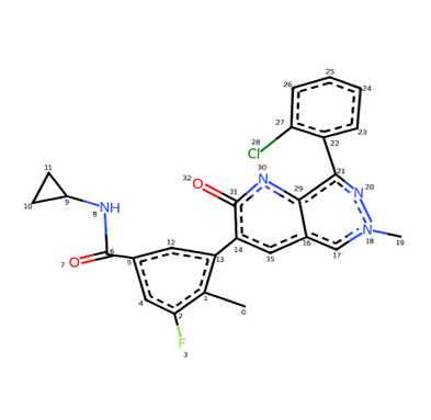 Cc1c(F)cc(C(=O)NC2CC2)cc1-c1cc2cn(C)nc(-c3ccccc3Cl)c-2nc1=O